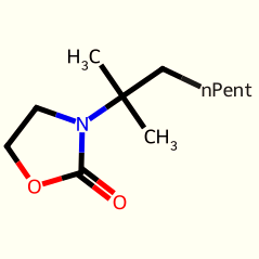 CCCCCCC(C)(C)N1CCOC1=O